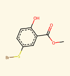 COC(=O)c1cc(SBr)ccc1O